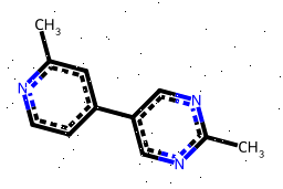 Cc1cc(-c2cnc(C)nc2)ccn1